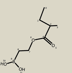 CCC(C)C(=O)OCCB(O)O